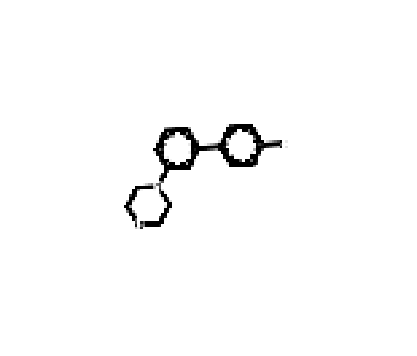 Clc1[c]cc(-c2cccc(N3CCOCC3)c2)cc1